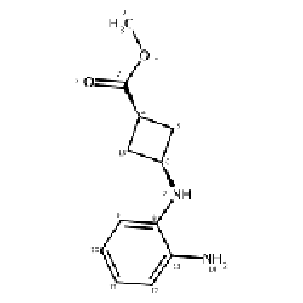 COC(=O)[C@H]1C[C@@H](Nc2ccccc2N)C1